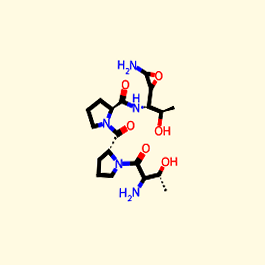 C[C@@H](O)C(N)C(=O)N1CCC[C@@H]1C(=O)N1CCC[C@H]1C(=O)N[C@H](C1OC1N)[C@@H](C)O